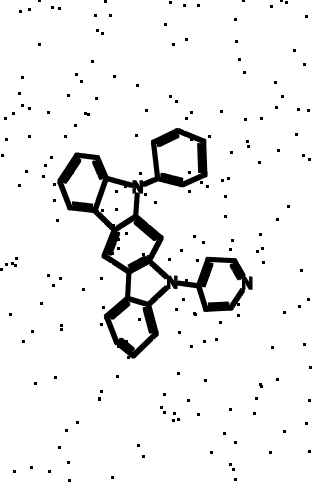 c1ccc(-n2c3ccccc3c3cc4c5ccccc5n(-c5ccncc5)c4cc32)cc1